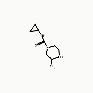 CC1CN(C(=O)NC2CC2)CCN1